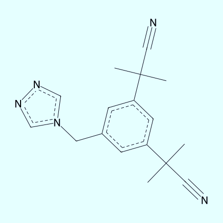 CC(C)(C#N)c1cc(Cn2cnnc2)cc(C(C)(C)C#N)c1